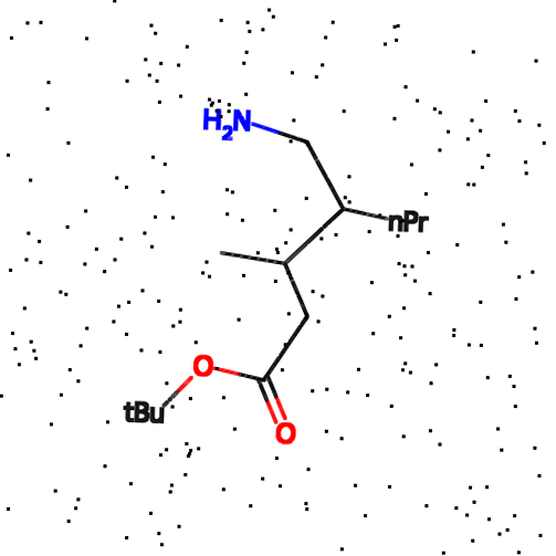 CCCC(CN)C(C)CC(=O)OC(C)(C)C